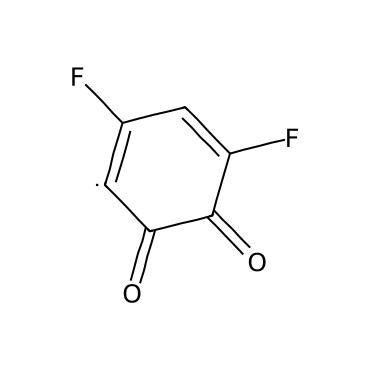 O=C1[C]=C(F)C=C(F)C1=O